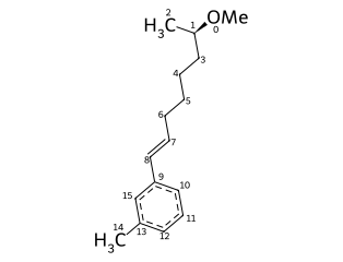 CO[C@H](C)CCCC/C=C/c1cccc(C)c1